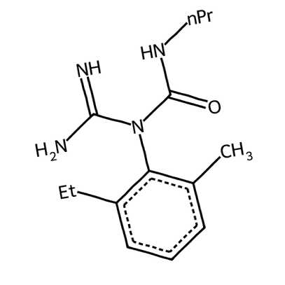 CCCNC(=O)N(C(=N)N)c1c(C)cccc1CC